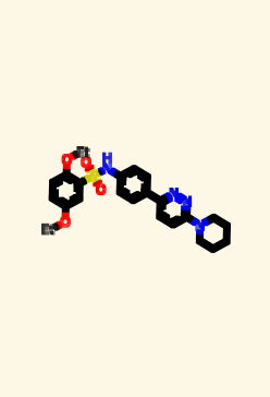 CCOc1ccc(OCC)c(S(=O)(=O)Nc2ccc(-c3ccc(N4CCCCC4)nn3)cc2)c1